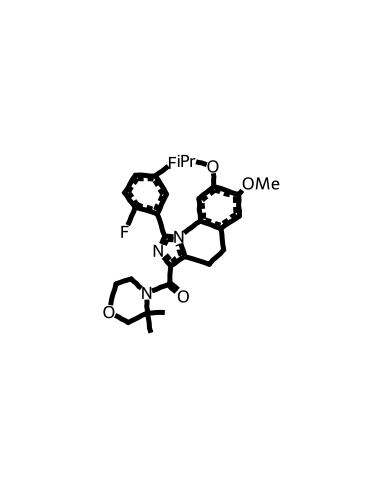 COc1cc2c(cc1OC(C)C)-n1c(-c3cc(F)ccc3F)nc(C(=O)N3CCOCC3(C)C)c1CC2